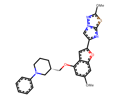 COc1cc(OC[C@H]2CCCN(c3ccccc3)C2)c2cc(-c3cn4nc(OC)sc4n3)oc2c1